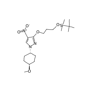 CO[C@H]1CC[C@H](n2cc([N+](=O)[O-])c(OCCCO[Si](C)(C)C(C)(C)C)n2)CC1